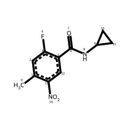 Cc1cc(F)c(C(=O)NC2CC2)cc1[N+](=O)[O-]